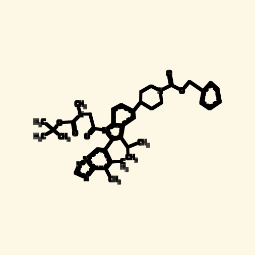 Cc1c(-c2c(C(C)C)c3cc(C4CCN(C(=O)OCc5ccccc5)CC4)ccc3n2C(=O)CN(C)C(=O)OC(C)(C)C)cn2ncnc2c1C